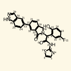 O=C(Nc1nccs1)C(c1cc(F)ccc1O)N1Cc2ccc(-c3ccc4[nH]ncc4c3)cc2C1=O